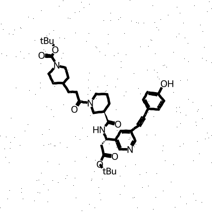 CC(C)(C)OC(=O)C[C@H](NC(=O)[C@@H]1CCCN(C(=O)CCC2CCN(C(=O)OC(C)(C)C)CC2)C1)c1cncc(C#Cc2ccc(O)cc2)c1